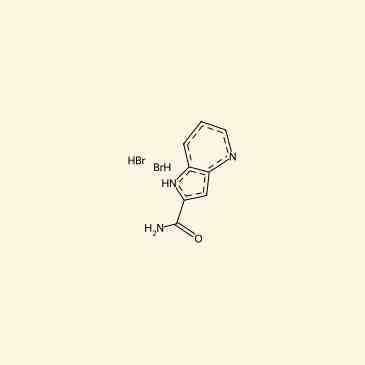 Br.Br.NC(=O)c1cc2ncccc2[nH]1